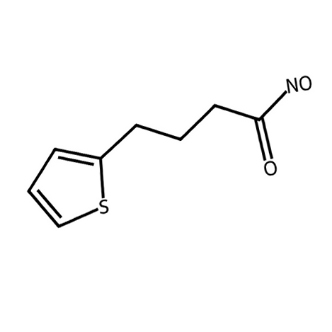 O=NC(=O)CCCc1cccs1